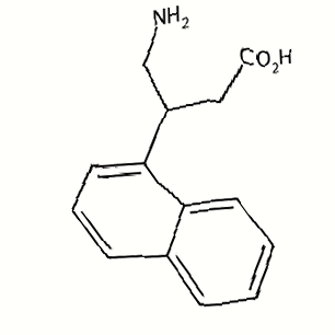 NCC(CC(=O)O)c1cccc2ccccc12